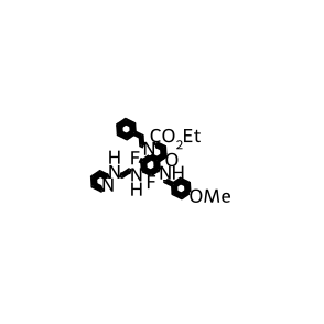 CCOC(=O)c1cc(=O)c2c(NCc3ccc(OC)cc3)c(F)c(NCCNc3ccccn3)c(F)c2n1CCc1ccccc1